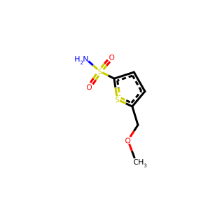 COCc1ccc(S(N)(=O)=O)s1